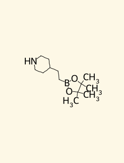 CC1(C)OB(CCC2CCNCC2)OC1(C)C